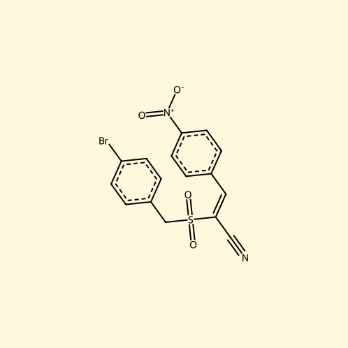 N#CC(=Cc1ccc([N+](=O)[O-])cc1)S(=O)(=O)Cc1ccc(Br)cc1